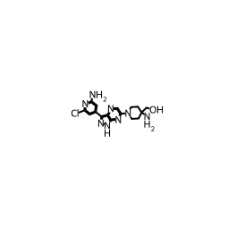 Nc1cc(-c2n[nH]c3nc(N4CCC(N)(CO)CC4)cnc23)cc(Cl)n1